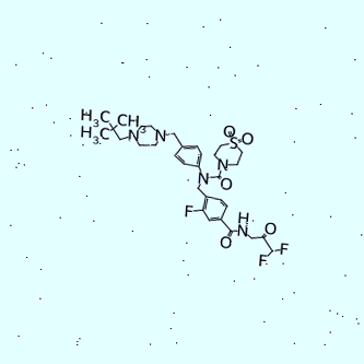 CC(C)(C)CN1CCN(Cc2ccc(N(Cc3ccc(C(=O)NCC(=O)C(F)F)cc3F)C(=O)N3CCS(=O)(=O)CC3)cc2)CC1